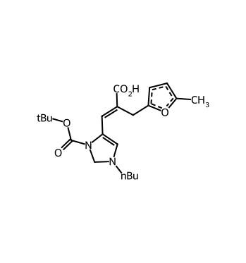 CCCCN1C=C(C=C(Cc2ccc(C)o2)C(=O)O)N(C(=O)OC(C)(C)C)C1